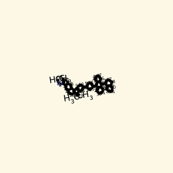 C/C=C\c1c(C)sc2cc3c4c(ccc3cc12)C(C)(C)c1cc(-c2ccc(-c3c5ccccc5c(-c5cccc6ccccc56)c5ccccc35)cc2)ccc1-4